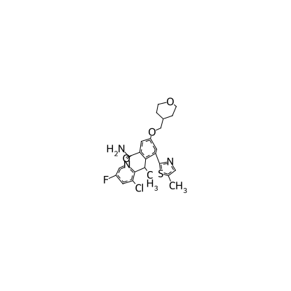 Cc1cnc(-c2cc(OCC3CCOCC3)cc(C(N)=O)c2C(C)c2ncc(F)cc2Cl)s1